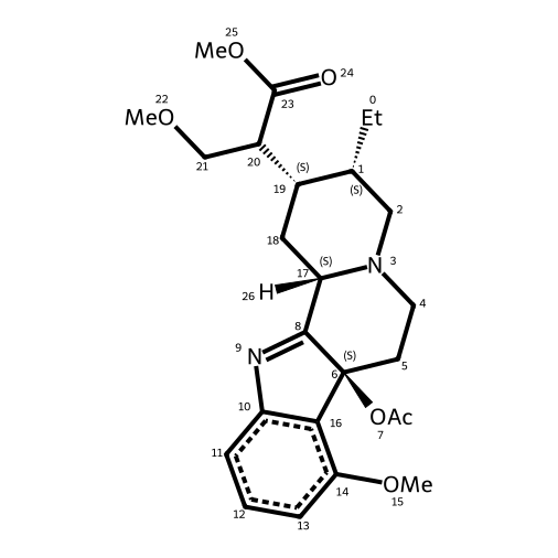 CC[C@@H]1CN2CC[C@@]3(OC(C)=O)C(=Nc4cccc(OC)c43)[C@@H]2C[C@@H]1C(COC)C(=O)OC